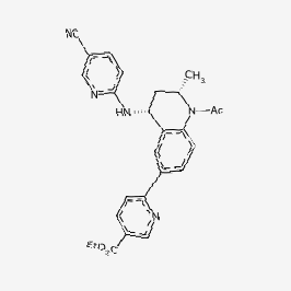 CCOC(=O)c1ccc(-c2ccc3c(c2)[C@H](Nc2ccc(C#N)cn2)C[C@H](C)N3C(C)=O)nc1